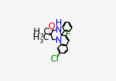 CC1(C)CN2c3cc(Cl)ccc3C=C(F)C2(c2ccccc2)NC1=O